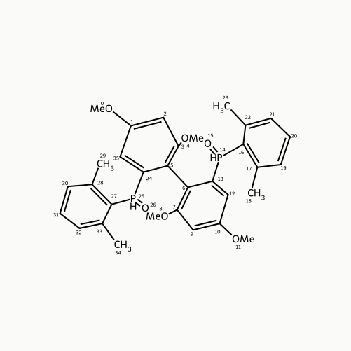 COc1cc(OC)c(-c2c(OC)cc(OC)cc2[PH](=O)c2c(C)cccc2C)c([PH](=O)c2c(C)cccc2C)c1